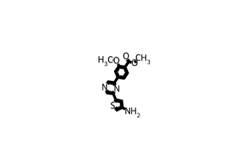 COC(=O)c1ccc(-c2cncc(-c3cc(N)cs3)n2)cc1OC